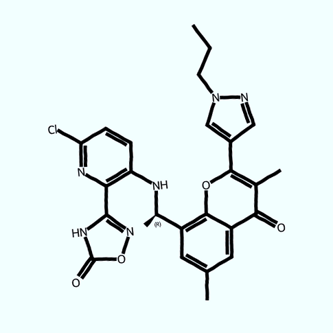 CCCn1cc(-c2oc3c([C@@H](C)Nc4ccc(Cl)nc4-c4noc(=O)[nH]4)cc(C)cc3c(=O)c2C)cn1